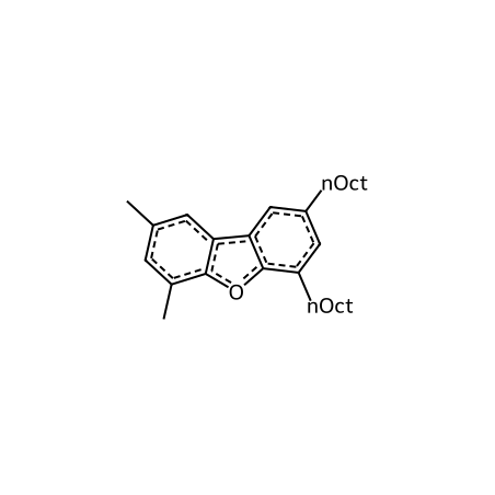 CCCCCCCCc1cc(CCCCCCCC)c2oc3c(C)cc(C)cc3c2c1